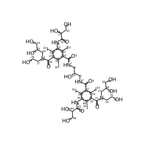 O=C(NCC(O)CNC(=O)c1c(I)c(NC(=O)C(O)CO)c(I)c(C(=O)N(CCO)CC(O)CO)c1I)c1c(I)c(NC(=O)C(O)CO)c(I)c(C(=O)N(CCO)CC(O)CO)c1I